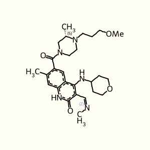 C/N=C\c1c(NC2CCOCC2)c2cc(C(=O)N3CCN(CCCOC)[C@@H](C)C3)c(C)cc2[nH]c1=O